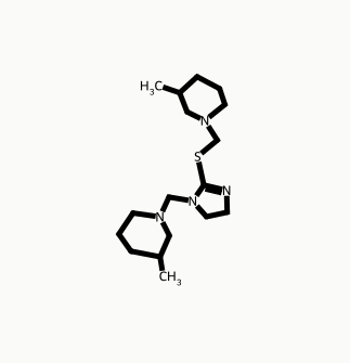 CC1CCCN(CSC2=NCCN2CN2CCCC(C)C2)C1